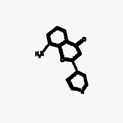 Nc1cccc2c(=O)cc(-c3ccncc3)oc12